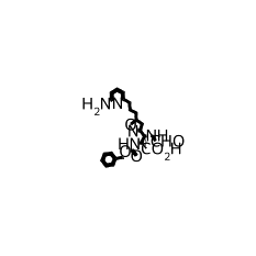 Nc1cccc(CCCC2CC(C(NC=O)[C@H](NC(=O)OCc3ccccc3)C(=O)O)=NO2)n1